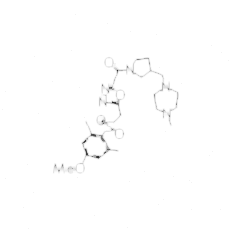 COc1cc(C)c(S(=O)(=O)Cc2nnc(C(=O)N3CCC(CN4CCN(C)CC4)C3)o2)c(C)c1